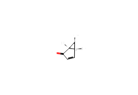 C[C@H]1[C@@H]2C=CC(=O)[C@H]12